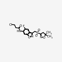 CC1(C)CC(S(=O)(=O)Cc2noc3cc(NC(=O)CCCl)c(F)cc23)=NO1